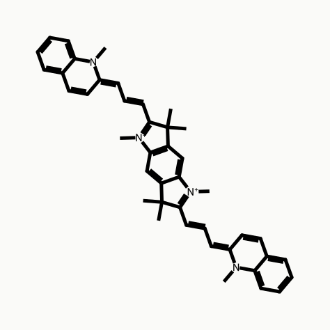 CN1C(=CC=CC2=[N+](C)c3cc4c(cc3C2(C)C)[N+](C)=C(C=CC=C2C=Cc3ccccc3N2C)C4(C)C)C=Cc2ccccc21